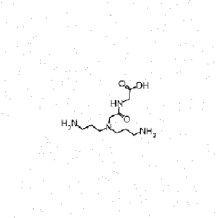 NCCCN(CCCN)CC(=O)NCC(=O)O